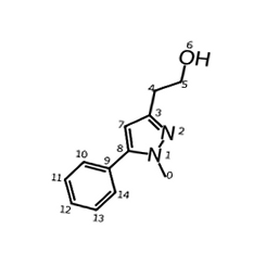 Cn1nc(CCO)cc1-c1ccccc1